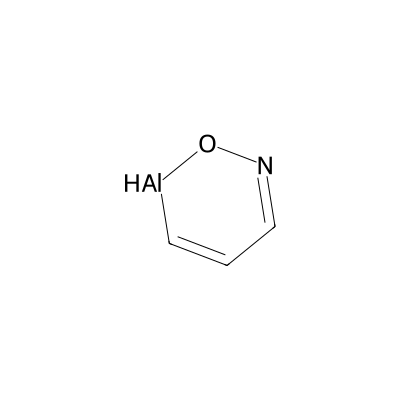 C1=[CH][AlH][O]N=C1